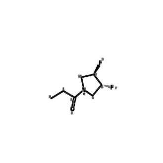 CCC(=O)N1C[C@@H](F)[C@H](F)C1